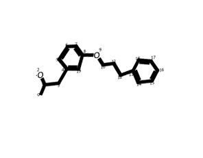 CC([O])Cc1cccc(OCCCc2ccccc2)c1